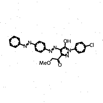 COCC(=O)c1nn(-c2ccc(Cl)cc2)c(O)c1/N=N/c1ccc(/N=N/c2ccccc2)cc1